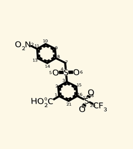 O=C(O)c1cc(S(=O)(=O)Cc2ccc([N+](=O)[O-])cc2)cc(S(=O)(=O)C(F)(F)F)c1